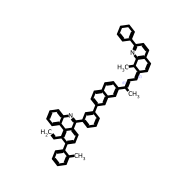 C=Cc1c(-c2ccccc2C)ccc2c(-c3cccc(-c4ccc5ccc(/C(C)=C/C=C6/C=Cc7ccc(C8=CCCC=C8)nc7C6C)cc5c4)c3)nc3ccccc3c12